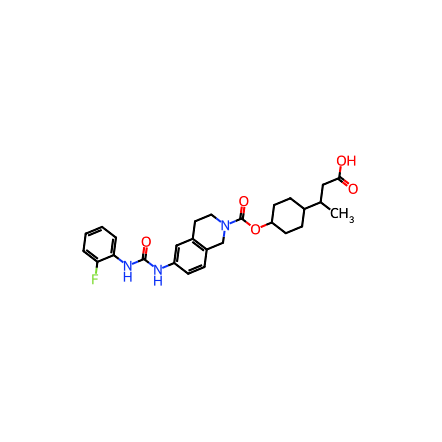 CC(CC(=O)O)C1CCC(OC(=O)N2CCc3cc(NC(=O)Nc4ccccc4F)ccc3C2)CC1